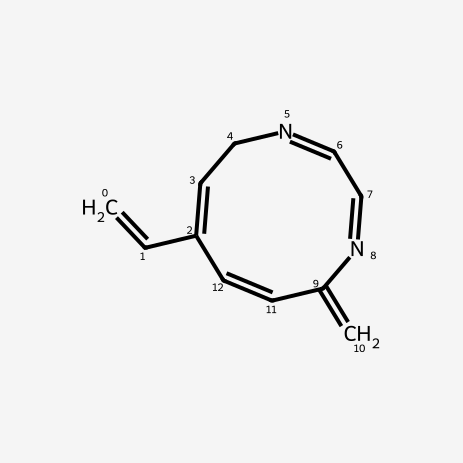 C=CC1=C/C/N=C\C=N/C(=C)/C=C\1